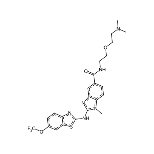 CN(C)CCOCCNC(=O)c1ccc2c(c1)nc(Nc1nc3ccc(OC(F)(F)F)cc3s1)n2C